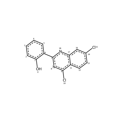 Oc1ccccc1-c1nc(Cl)c2ccc(Cl)cc2n1